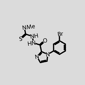 CNC(=S)NNC(=O)c1nccn1-c1cccc(Br)c1